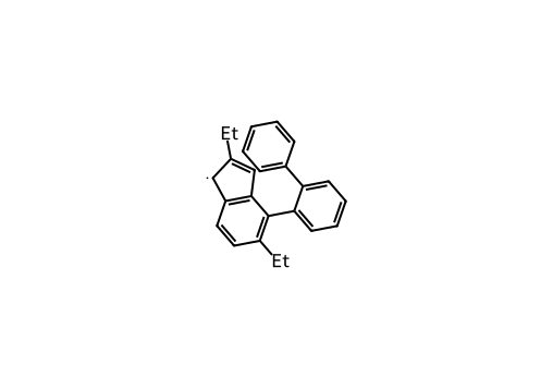 CCC1=Cc2c(ccc(CC)c2-c2ccccc2-c2ccccc2)[CH]1